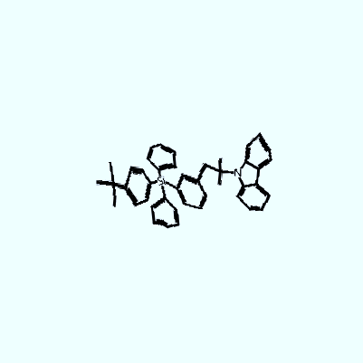 CC(C)(C)c1ccc([Si](c2ccccc2)(c2ccccc2)c2cccc(CC(C)(C)n3c4ccccc4c4ccccc43)c2)cc1